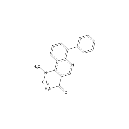 CN(C)c1c(C(N)=O)cnc2c(-c3ccccc3)cccc12